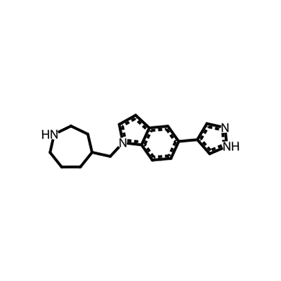 c1cc2c(ccn2CC2CCCNCC2)cc1-c1cn[nH]c1